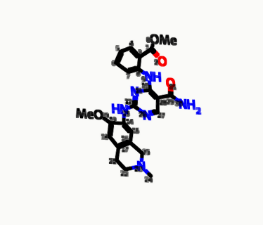 COC(=O)c1ccccc1Nc1nc(Nc2cc3c(cc2OC)CCN(C)C3)ncc1C(N)=O